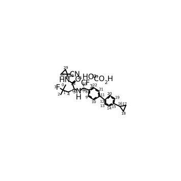 CC(C)(F)C[C@H](N[C@@H](c1ccc(-c2ccc(C3CC3)cc2)cc1)C(F)(F)F)C(=O)NC1(C#N)CC1.O=C(O)O